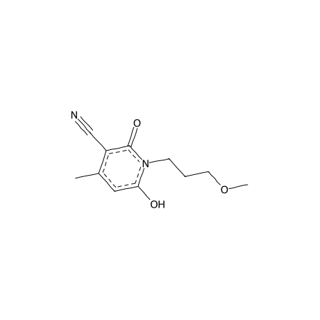 COCCCn1c(O)cc(C)c(C#N)c1=O